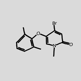 Cc1cccc(C)c1Oc1cn(C)c(=O)cc1Br